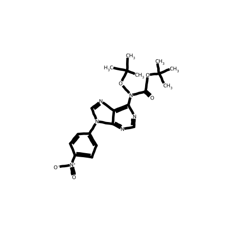 CC(C)(C)OC(=O)N(OC(C)(C)C)c1ncnc2c1ncn2-c1ccc([N+](=O)[O-])cc1